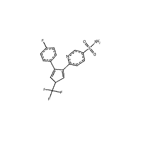 NS(=O)(=O)c1ccc(C2=CC(C(F)(F)F)C=C2c2ccc(F)cc2)nc1